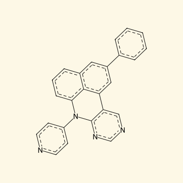 c1ccc(-c2cc3c4c(cccc4c2)N(c2ccncc2)c2ncncc2-3)cc1